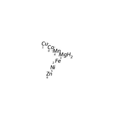 [Co].[Cu].[Fe].[MgH2].[Mn].[Ni].[Zn]